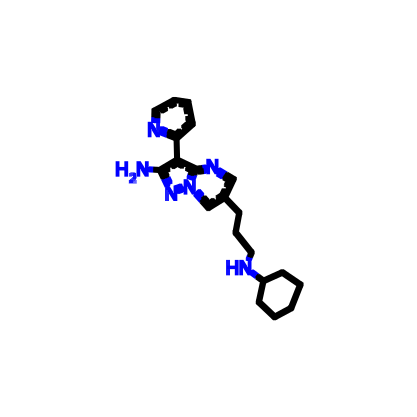 Nc1nn2cc(CCCNC3CCCCC3)cnc2c1-c1ccccn1